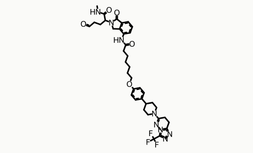 CNC(=O)C(CCC=O)N1Cc2c(NC(=O)CCCCCCOc3ccc(C4CCN(C5=Nn6c(nnc6C(F)(F)F)CC5)CC4)cc3)cccc2C1=O